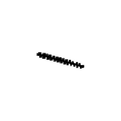 [CH]=CCCCCCCCCCCCCCCCCCCCCCCCCC=C